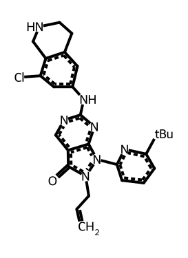 C=CCn1c(=O)c2cnc(Nc3cc(Cl)c4c(c3)CCNC4)nc2n1-c1cccc(C(C)(C)C)n1